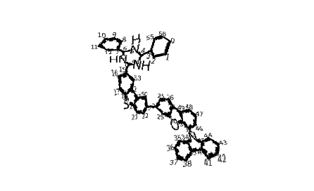 C1=CCC(C2NC(c3ccccc3)NC(c3ccc4sc5ccc(-c6ccc7c(c6)oc6c(-n8c9ccccc9c9ccccc98)cccc67)cc5c4c3)N2)C=C1